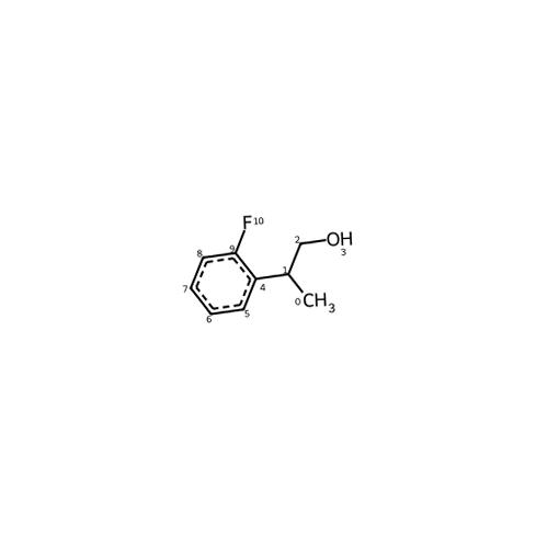 CC(CO)c1ccccc1F